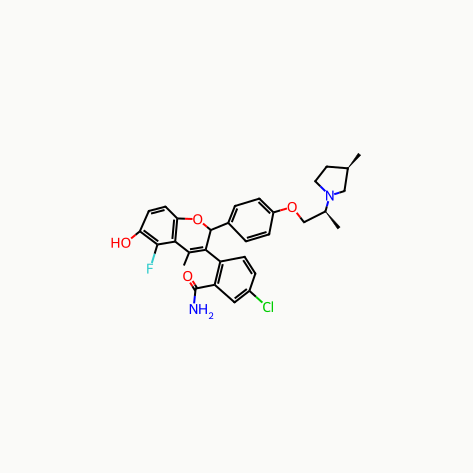 CC1=C(c2ccc(Cl)cc2C(N)=O)C(c2ccc(OC[C@H](C)N3CC[C@@H](C)C3)cc2)Oc2ccc(O)c(F)c21